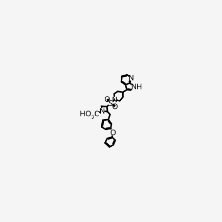 O=C(O)N1CC(S(=O)(=O)N2CCC(c3c[nH]c4ncccc34)CC2)C1Cc1cccc(Oc2ccccc2)c1